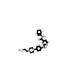 CCCN1CCN(c2ccc(Nc3nccc(C(=O)NC4CC5CCC4C5)n3)cc2)CC1